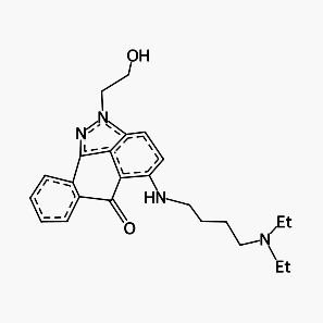 CCN(CC)CCCCNc1ccc2c3c(nn2CCO)-c2ccccc2C(=O)c13